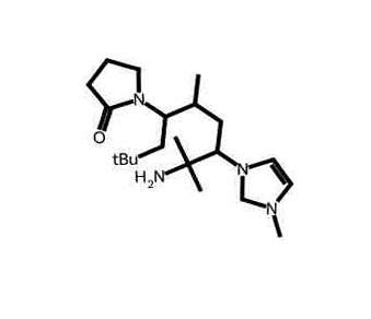 CC(CC(N1C=CN(C)C1)C(C)(C)N)C(CC(C)(C)C)N1CCCC1=O